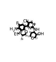 CCN1c2c(N)c(F)cc(-c3nc(N[C@@H]4CCOC[C@H]4O)ncc3Cl)c2OC[C@@H]1C